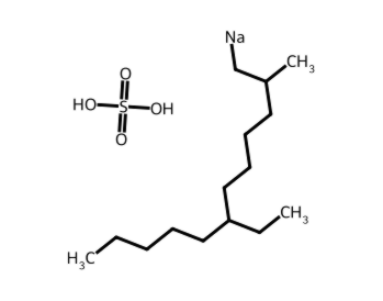 CCCCCC(CC)CCCCC(C)[CH2][Na].O=S(=O)(O)O